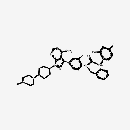 CN1CCN(C2CCC(n3nc(-c4ccc(N(Cc5ccccc5)C(=O)Nc5ccc(F)cc5F)c(F)c4)c4c(N)ncnc43)CC2)CC1